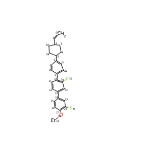 C=CC1CCC(c2ccc(-c3ccc(-c4ccc(OCC)c(F)c4)cc3F)cc2)CC1